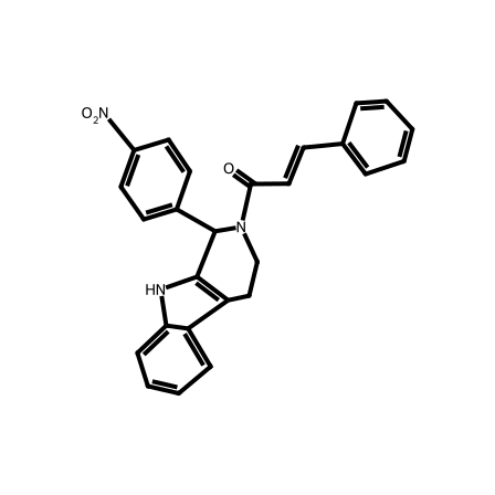 O=C(/C=C/c1ccccc1)N1CCc2c([nH]c3ccccc23)C1c1ccc([N+](=O)[O-])cc1